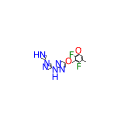 COc1cc(C)c(F)c(COc2cnc(Nc3cnn(C4CNC4)c3)nc2)c1F